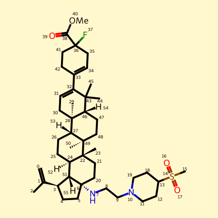 C=C(C)[C@@H]1CC[C@]2(NCCN3CCC(S(C)(=O)=O)CC3)CC[C@]3(C)[C@H](CC[C@@H]4[C@@]5(C)CC=C(C6=CCC(F)(C(=O)OC)CC6)C(C)(C)[C@@H]5CC[C@]43C)[C@@H]12